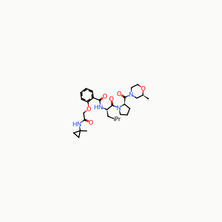 CC(C)C[C@@H](NC(=O)c1ccccc1OCC(=O)NC1(C)CC1)C(=O)N1CCC[C@@H]1C(=O)N1CCO[C@@H](C)C1